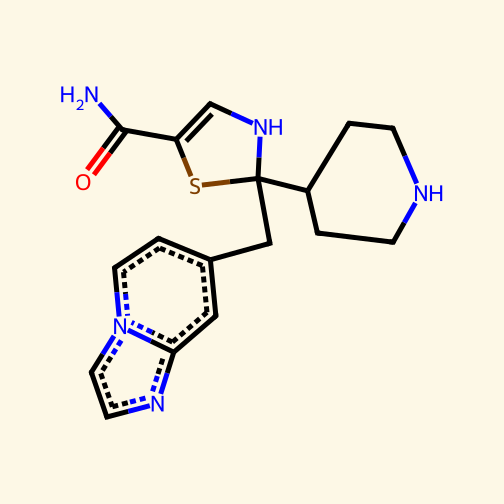 NC(=O)C1=CNC(Cc2ccn3ccnc3c2)(C2CCNCC2)S1